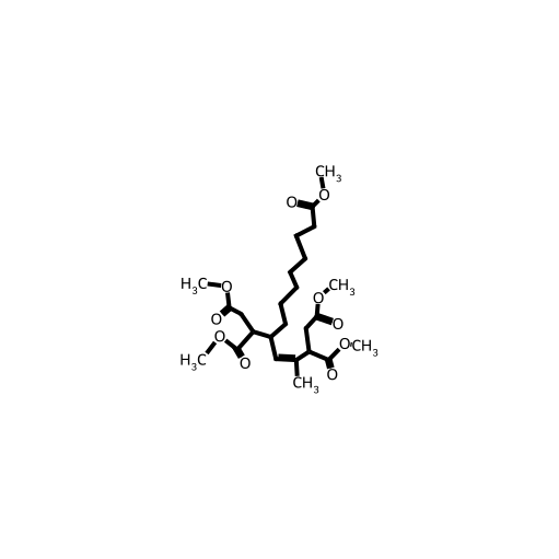 COC(=O)CCCCCCCC(/C=C(/C)C(CC(=O)OC)C(=O)OC)C(CC(=O)OC)C(=O)OC